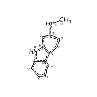 CPc1ccc2c(c1)[nH]c1ccccc12